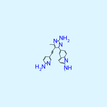 CNc1ccc2cc(-c3nc(N)nc(C)c3C#Cc3ccc(N)nc3)ccc2n1